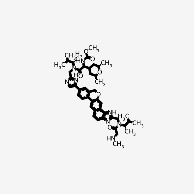 CNCC(=O)N(Cc1nc2ccc3cc4c(cc3c2[nH]1)OCc1cc(-c2cnc(CN(C(=O)C(NC(=O)OC)C3CC(C)O[C@H](C)C3)[C@@H](C)C(C)C)[nH]2)ccc1-4)[C@@H](C)C(C)C